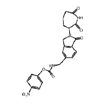 O=C1CCC[C@H](N2Cc3cc(CNC(=O)Oc4ccc([N+](=O)[O-])cc4)ccc3C2=O)C(=O)N1